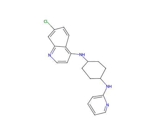 Clc1ccc2c(NC3CCC(Nc4ccccn4)CC3)ccnc2c1